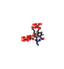 CCCCCCCCCCC.NC(=O)c1ccc(C=O)cc1.O=P(O)(O)O.O=P(O)(O)O.O=P(O)(O)O